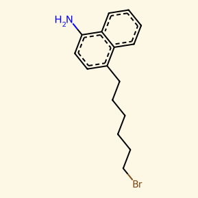 Nc1ccc(CCCCCCBr)c2ccccc12